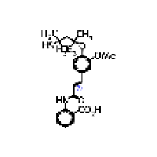 COc1cc(/C=C/C(=O)Nc2ccccc2C(=O)O)ccc1OC(C)(C)CC(C)(C)S